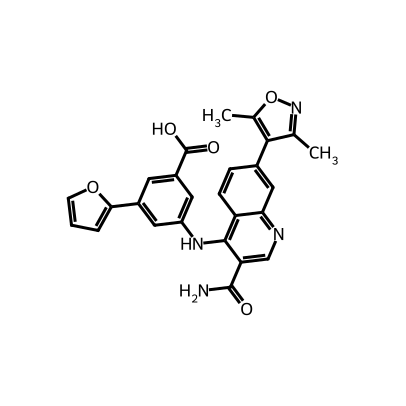 Cc1noc(C)c1-c1ccc2c(Nc3cc(C(=O)O)cc(-c4ccco4)c3)c(C(N)=O)cnc2c1